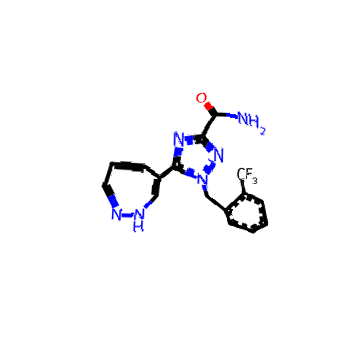 NC(=O)c1nc(C2=CNN=CC=C2)n(Cc2ccccc2C(F)(F)F)n1